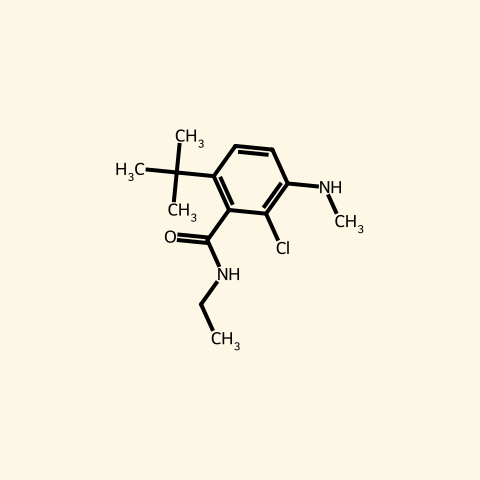 CCNC(=O)c1c(C(C)(C)C)ccc(NC)c1Cl